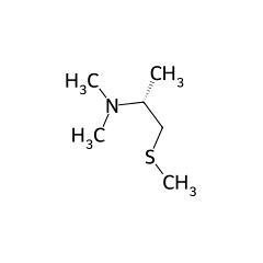 CSC[C@@H](C)N(C)C